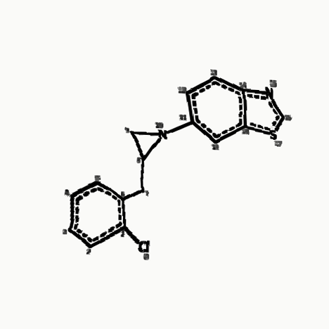 Clc1ccccc1CC1CN1c1ccc2ncsc2c1